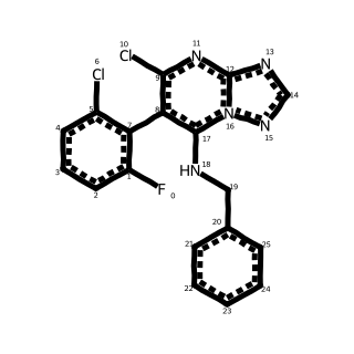 Fc1cccc(Cl)c1-c1c(Cl)nc2ncnn2c1NCc1ccccc1